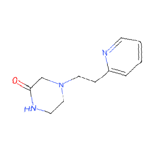 O=C1CN(CCc2ccccn2)CCN1